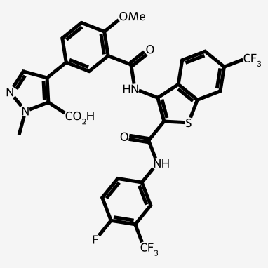 COc1ccc(-c2cnn(C)c2C(=O)O)cc1C(=O)Nc1c(C(=O)Nc2ccc(F)c(C(F)(F)F)c2)sc2cc(C(F)(F)F)ccc12